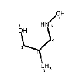 CC(CO)CNO